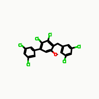 [O]c1cc(-c2cc(Cl)cc(Cl)c2)c(Cl)c(Cl)c1Cc1cc(Cl)cc(Cl)c1